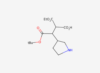 CCOC(=O)C(C(=O)O)C(C(=O)OC(C)(C)C)C1CCNC1